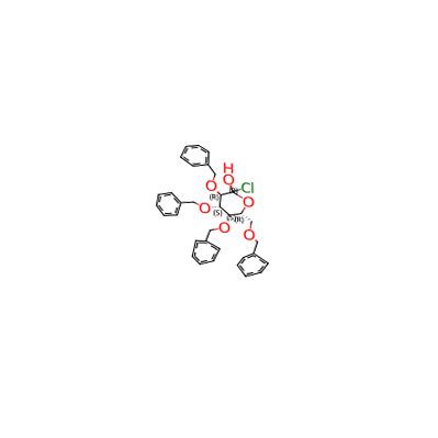 O[C@@]1(Cl)O[C@H](COCc2ccccc2)[C@H](OCc2ccccc2)[C@H](OCc2ccccc2)[C@H]1OCc1ccccc1